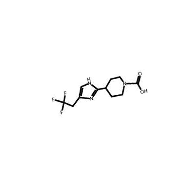 O=C(O)N1CCC(c2nc(CC(F)(F)F)c[nH]2)CC1